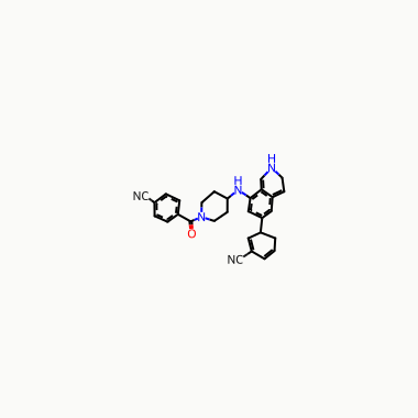 N#CC1=CC(c2cc(NC3CCN(C(=O)c4ccc(C#N)cc4)CC3)c3c(c2)=CCNC=3)CC=C1